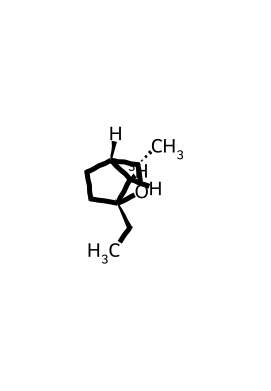 [3H][C@@H]1[C@@H]2CC[C@@]1(CC)O[C@H]2C